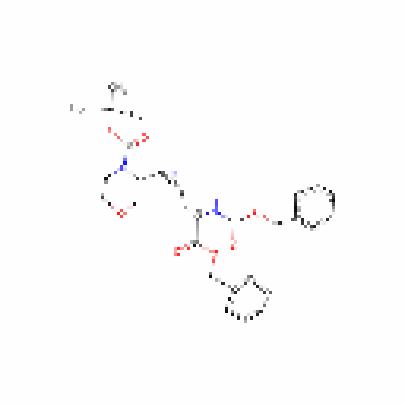 CC(C)(C)OC(=O)N1CCOCC1/C=C\C[C@H](NC(=O)OCc1ccccc1)C(=O)OCc1ccccc1